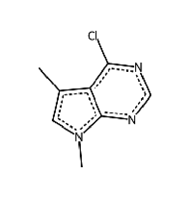 Cc1cn(C)c2ncnc(Cl)c12